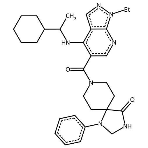 CCn1ncc2c(NC(C)C3CCCCC3)c(C(=O)N3CCC4(CC3)C(=O)NCN4c3ccccc3)cnc21